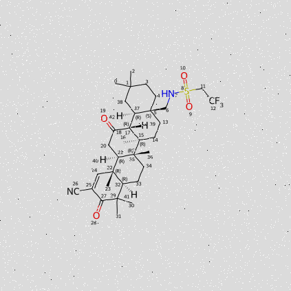 CC1(C)CC[C@]2(CNS(=O)(=O)CC(F)(F)F)CC[C@]3(C)[C@H](C(=O)C[C@@H]4[C@@]5(C)C=C(C#N)C(=O)C(C)(C)[C@@H]5CC[C@]43C)[C@H]2C1